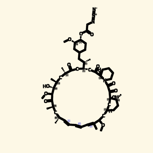 COC1C[C@H]2CC[C@@H](C)[C@@](O)(C2)C(=O)C(=O)N2CCCC[C@H]2C(=O)C[C@@H]([C@@H](C)CC2CC[C@@H](OC(=O)CN=[N+]=[N-])[C@@H](OC)C2)CC(=O)[C@@H](C)C[C@H](C)[C@@H](O)C(OC)C(=O)[C@H](C)C[C@@H](C)/C=C/C=C/C=C/1C